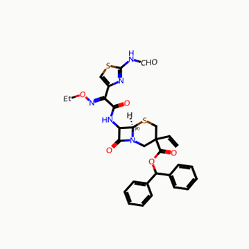 C=CC1(C(=O)OC(c2ccccc2)c2ccccc2)CS[C@@H]2C(NC(=O)C(=NOCC)c3csc(NC=O)n3)C(=O)N2C1